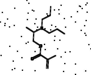 C=C(C)C(=O)OCC(C)N(CCC)CCC